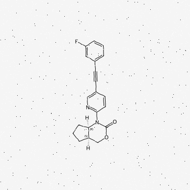 O=C1OC[C@H]2CCC[C@H]2N1c1ccc(C#Cc2cccc(F)c2)cn1